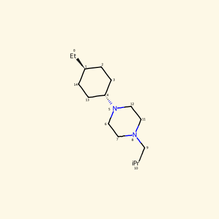 CC[C@H]1CC[C@H](N2CCN(CC(C)C)CC2)CC1